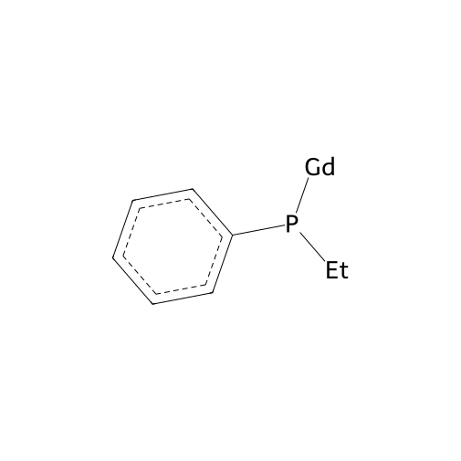 CC[P]([Gd])c1ccccc1